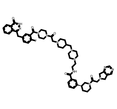 O=C(NCCN1CCN(CC2CCN(CC(=O)N3CCN(C(=O)c4cc(Cc5n[nH]c(=O)c6ccccc56)ccc4F)CC3)CC2)CC1)c1cccc([C@@H]2CCCN(C(=O)CN3Cc4cncnc4C3)C2)c1